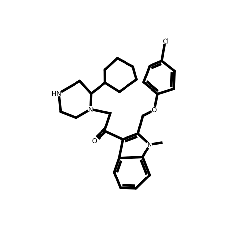 Cn1c(COc2ccc(Cl)cc2)c(C(=O)CN2CCNCC2C2CCCCC2)c2ccccc21